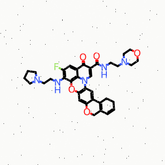 O=C(NCCN1CCOCC1)c1cn2c3c(c(NCCN4CCCC4)c(F)cc3c1=O)Oc1cc3c(cc1-2)C1=C(C=CCC1)CO3